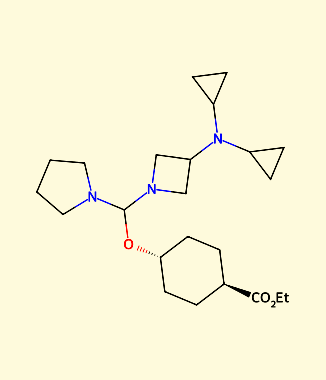 CCOC(=O)[C@H]1CC[C@H](OC(N2CCCC2)N2CC(N(C3CC3)C3CC3)C2)CC1